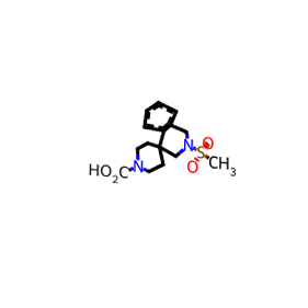 CS(=O)(=O)N1Cc2ccccc2C2(CCN(C(=O)O)CC2)C1